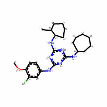 COc1ccc(Nc2nc(NC3CCCCCC3)nc(NC3CCCCC3C)n2)cc1F